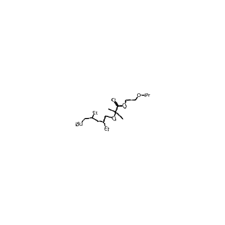 CCC(C)CC(CC)CC(CC)COC(C)(C)C(=O)OCCOC(C)C